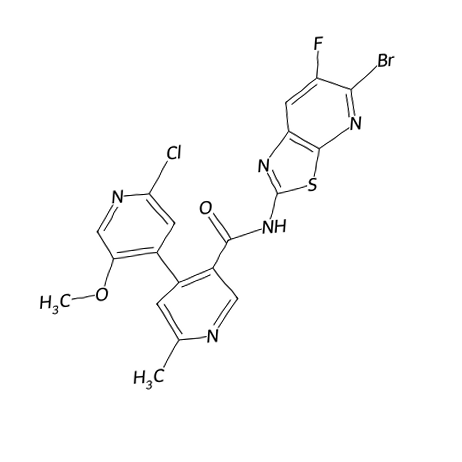 COc1cnc(Cl)cc1-c1cc(C)ncc1C(=O)Nc1nc2cc(F)c(Br)nc2s1